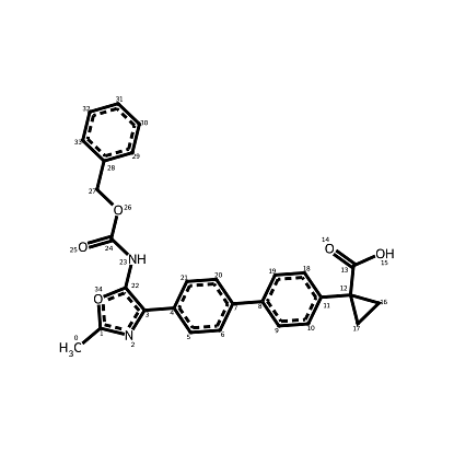 Cc1nc(-c2ccc(-c3ccc(C4(C(=O)O)CC4)cc3)cc2)c(NC(=O)OCc2ccccc2)o1